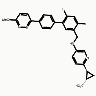 COc1ccc(-c2ccc(-c3cc(CNc4ccc([C@H]5C[C@@H]5C(=O)O)nc4)c(F)cc3F)cc2)nn1